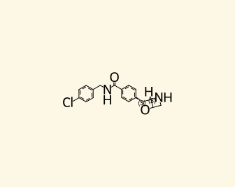 O=C(NCc1ccc(Cl)cc1)c1ccc([C@@H]2OC3CN[C@H]32)cc1